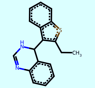 CCc1sc2ccccc2c1C1NC=Nc2ccccc21